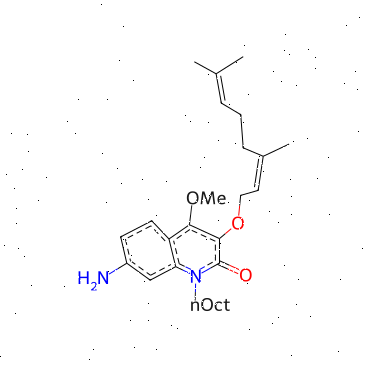 CCCCCCCCn1c(=O)c(OCC=C(C)CCC=C(C)C)c(OC)c2ccc(N)cc21